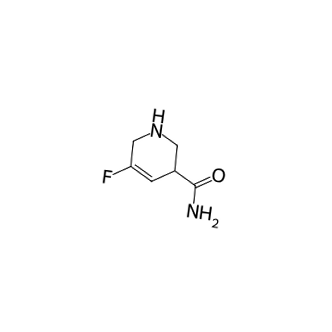 NC(=O)C1C=C(F)CNC1